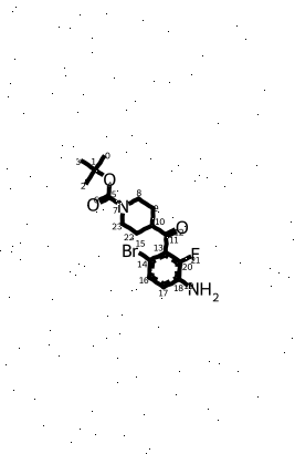 CC(C)(C)OC(=O)N1CCC(C(=O)c2c(Br)ccc(N)c2F)CC1